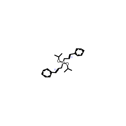 CC(C)O[Si](C/C=C/c1ccccc1)(C/C=C/c1ccccc1)OC(C)C